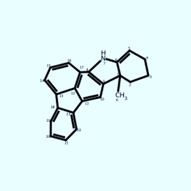 CC12CCCC=C1Nc1c2cc2c3c(cccc13)-c1ccccc1-2